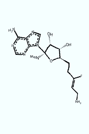 CN[C@@]1(n2cnc3c(N)ncnc32)O[C@H](CCC(F)=CCN)[C@@H](O)[C@H]1O